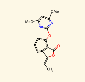 CC=C1OC(=O)c2c(Oc3nc(OC)cc(OC)n3)cccc21